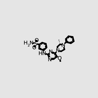 COc1cnc(Nc2cccc(S(N)(=O)=O)c2)nc1N1CCN(c2ccccc2)[C@@H](C)C1